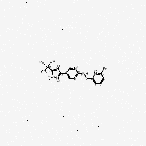 Fc1cccc(CNc2ncc(-c3noc(C(F)(F)Cl)n3)cn2)n1